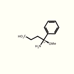 CO[C@@](N)(CCC(=O)O)c1ccccc1